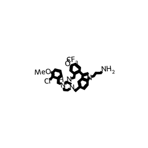 COc1cccc(CN2CCN(Cc3ccc4c(c3)c(-c3ccc(OC(F)(F)F)cc3CN)cn4CCCN)CC2)c1Cl